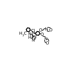 Cc1cccc(Cl)c1Nc1nc2cc(OCCN3CCOCC3)c(OCCN3CCOCC3)cc2n2cncc12